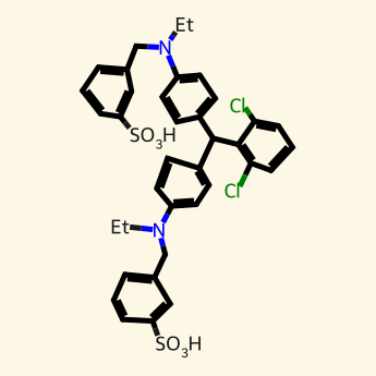 CCN(Cc1cccc(S(=O)(=O)O)c1)c1ccc(C(c2ccc(N(CC)Cc3cccc(S(=O)(=O)O)c3)cc2)c2c(Cl)cccc2Cl)cc1